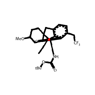 COC1CCC2(CC1)Cc1ccc(CC(F)(F)F)cc1C21N=C(NC(=O)OC(C)(C)C)N(C)C1=O